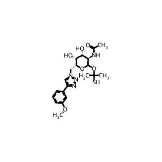 COc1cccc(-c2cn(C[C@H]3OC(OC(C)(C)S)[C@H](NC(C)=O)[C@@H](O)[C@H]3O)nn2)c1